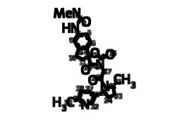 CNC(=O)Nc1ccc2c(c1)CCC21OC(=O)N(CC(=O)N2[C@H](C)CC[C@H]2c2ccc(C)nc2)C1=O